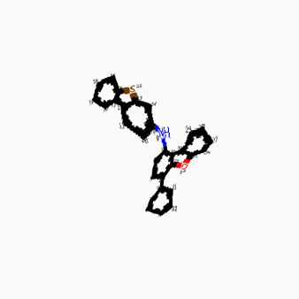 c1ccc(-c2ccc(Nc3ccc4c(c3)sc3ccccc34)c3c2oc2ccccc23)cc1